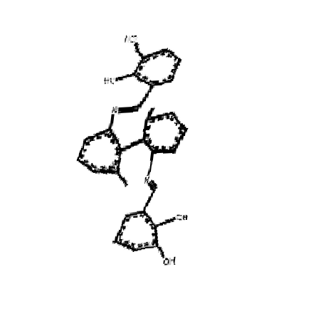 Cc1cccc(/N=C/c2cccc(O)c2O)c1-c1c(C)cccc1/N=C/c1cccc(O)c1O